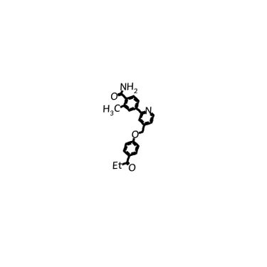 CCC(=O)c1ccc(OCc2ccnc(-c3ccc(C(N)=O)c(C)c3)c2)cc1